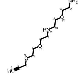 C#CCOCCOCCNCCOCCN